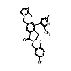 Cc1nccn1Cc1cc2c(c(-c3cn(C)nc3C(F)(F)F)c1)CCN(Cc1cc(Br)cnc1Cl)C2=O